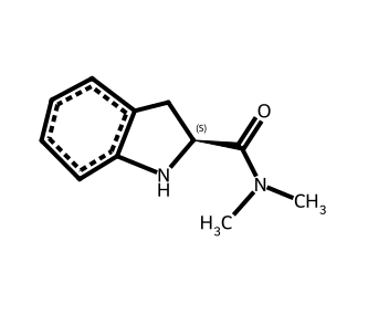 CN(C)C(=O)[C@@H]1Cc2ccccc2N1